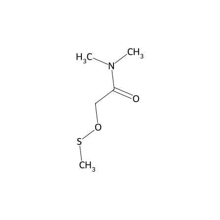 CSOCC(=O)N(C)C